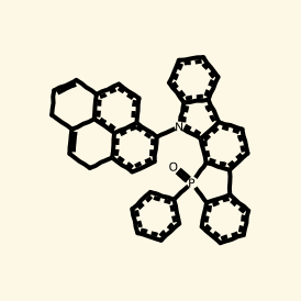 O=P1(c2ccccc2)c2ccccc2-c2ccc3c4ccccc4n(-c4ccc5c6c7c(ccc46)C=CCC7=CC5)c3c21